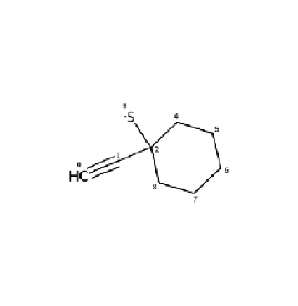 C#CC1([S])CCCCC1